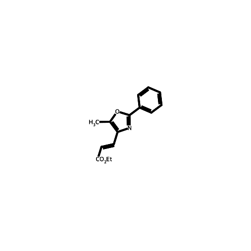 CCOC(=O)/C=C/c1nc(-c2ccccc2)oc1C